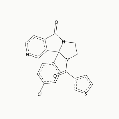 O=C(c1ccsc1)N1CCN2C(=O)c3ccncc3C12c1ccc(Cl)cc1